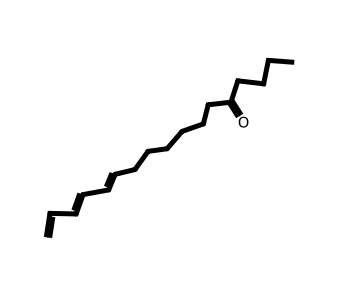 C=CC=CC=CCCCCCCC(=O)CCCC